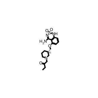 CCC(=O)CN1CCC[C@H](COc2cccc3c2C(N)=NS(=O)(=O)N3)C1